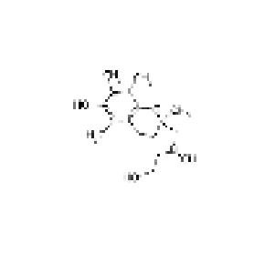 Cc1c(C)c2c(c(C)c1O)CCC(C)(CN(C)CCO)O2